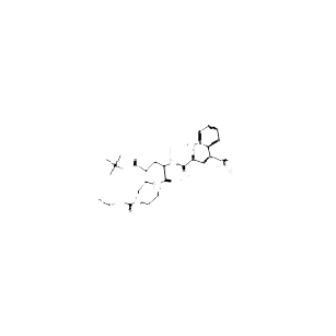 CCOC(=O)N1CCN(C(=O)C(CCC(=O)OC(C)(C)C)NC(=O)c2cc(C(=O)O)c3ccccc3n2)CC1